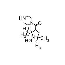 CC1(C)CC(C(=O)N2CCNCC2)C(C)(C)N1O